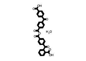 O.O=C(O)c1ccc(C(=O)c2ccc(C(=O)OC(=O)c3ccc(C(=O)c4ccccc4C(=O)O)cc3)cc2)cc1